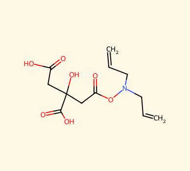 C=CCN(CC=C)OC(=O)CC(O)(CC(=O)O)C(=O)O